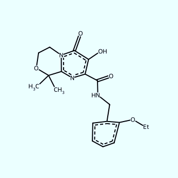 CCOc1ccccc1CNC(=O)c1nc2n(c(=O)c1O)CCOC2(C)C